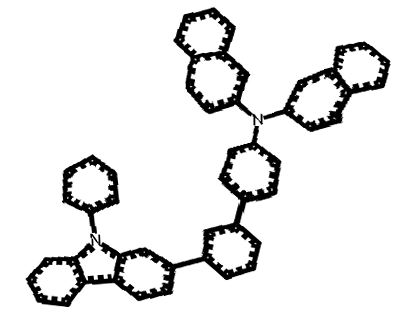 c1ccc(-n2c3ccccc3c3ccc(-c4cccc(-c5ccc(N(c6ccc7ccccc7c6)c6ccc7ccccc7c6)cc5)c4)cc32)cc1